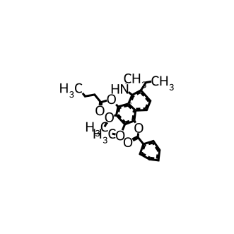 CCCC(=O)Oc1c(OC)c(OC)c(OC(=O)c2ccccc2)c2ccc(CC)c(NC)c12